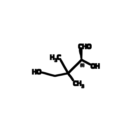 CC(C)(CO)[C@H](O)C=O